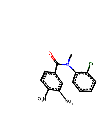 CN(C(=O)c1ccc([N+](=O)[O-])c([N+](=O)[O-])c1)c1ccccc1Cl